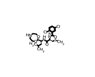 CSC[C@H](NC(=O)c1cc(Cl)ccc1Cl)C(=O)N[C@@H](CC(C)C)B1OCCNCCO1